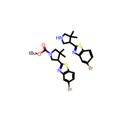 CC(C)(C)OC(=O)N1CC(c2nc3cc(Br)ccc3s2)C(C)(C)C1.CC1(C)CNCC1c1nc2cc(Br)ccc2s1